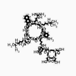 CC(C)NCCCC[C@H](NC(=O)[C@H]1CCC(=O)N[C@@H](CCCCNC(=O)C(CS(=O)(=O)O)NC(=O)CN2CCN(CC(=O)O)CCN(CC(=O)O)CCN(CC(=O)O)CC2)C(=O)N[C@@H](Cc2ccc(N)cc2)C(=O)N[C@@H](CCCCNC(C)C)C(=O)N[C@H](CCCNC(=N)N)C(=O)N[C@@H](Cc2ccc3ccccc3c2)C(=O)NCC(=O)N1)C(N)=O